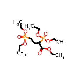 CCOC(=O)C(CCP(=O)(OCC)OCC)P(=O)(OCC)OCC